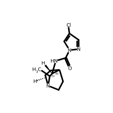 C[C@H]1[C@H](NC(=O)n2cc(Cl)cn2)C2CCN1CC2